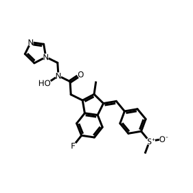 CC1=C(CC(=O)N(O)Cn2ccnc2)c2cc(F)ccc2/C1=C\c1ccc([S+](C)[O-])cc1